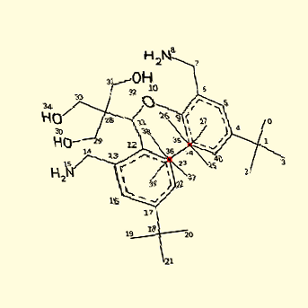 CC(C)(C)c1cc(CN)c(OC(c2c(CN)cc(C(C)(C)C)cc2C(C)(C)C)C(CO)(CO)CO)c(C(C)(C)C)c1